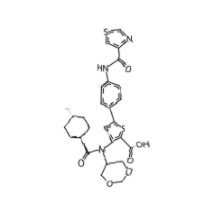 C[C@H]1CC[C@H](C(=O)N(c2cc(-c3ccc(NC(=O)c4cscn4)cc3)sc2C(=O)O)C2COCOC2)CC1